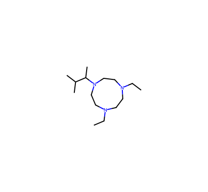 CCN1CCN(CC)CCN(C(C)C(C)C)CC1